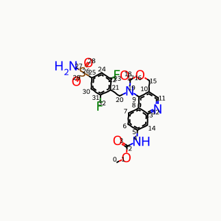 COC(=O)Nc1ccc2c3c(cnc2c1)COC(=O)N3Cc1c(F)cc(S(N)(=O)=O)cc1F